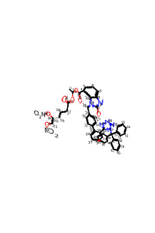 CCOc1nc2cccc(C(=O)OC(C)OC(=O)CCC[C@H](CO[N+](=O)[O-])O[N+](=O)[O-])c2n1Cc1ccc(-c2ccccc2-c2nnnn2C(c2ccccc2)(c2ccccc2)c2ccccc2)cc1